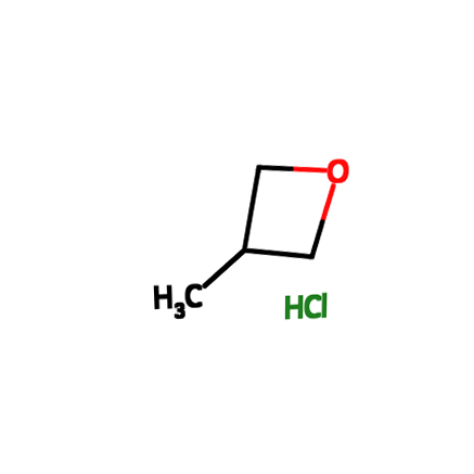 CC1COC1.Cl